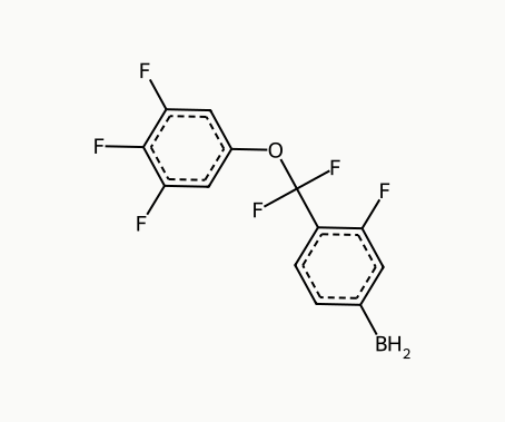 Bc1ccc(C(F)(F)Oc2cc(F)c(F)c(F)c2)c(F)c1